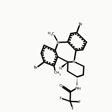 Cc1c(Br)ccc2c1[C@H]1C[C@@H](NC(=O)C(F)(F)F)CCN1c1ccc(Br)cc1N2C